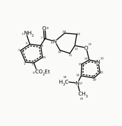 CCOC(=O)c1ccc(N)c(C(=O)N2CCC(Oc3cc(N(C)C)ccn3)CC2)c1